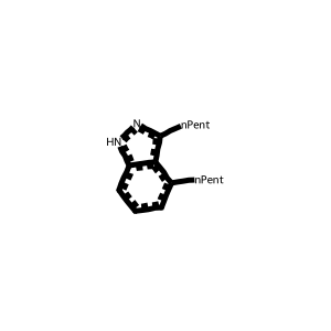 CCCCCc1cccc2[nH]nc(CCCCC)c12